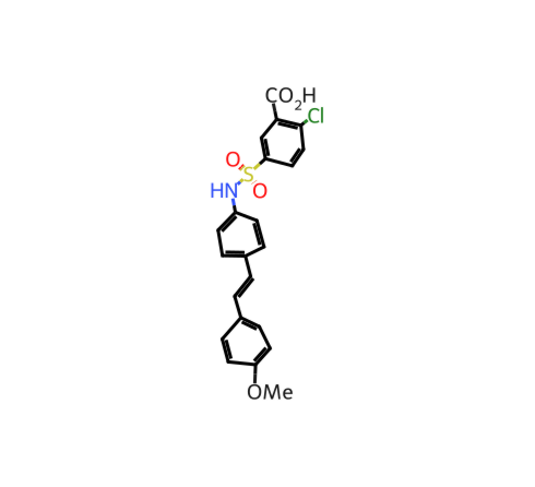 COc1ccc(C=Cc2ccc(NS(=O)(=O)c3ccc(Cl)c(C(=O)O)c3)cc2)cc1